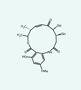 COc1cc(O)c2c(c1)NC(=O)C[C@H](O)C(O)C(=O)/C=C\[C@@H](C)C(C)OC2=O